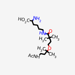 CC(=O)NCCC(C)(C)OCCC(C)(C)C(=O)NCCCCC(N)C(=O)O